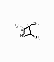 CC1N[C@H](C)[C@H]1C